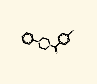 CC(C)c1ccc(C(=O)N2CCN(c3ccccn3)CC2)cc1